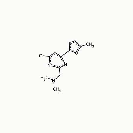 Cc1ccc(-c2cc(Cl)nc(CN(C)C)n2)o1